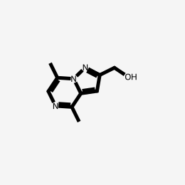 Cc1ncc(C)n2nc(CO)cc12